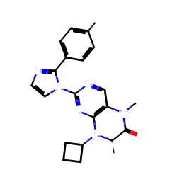 CC[C@@H]1C(=O)N(C)c2cnc(-n3ccnc3-c3ccc(C(F)(F)F)cc3)nc2N1C1CCC1